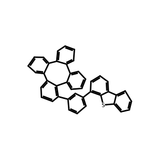 c1cc(-c2cccc3c2-c2ccccc2-c2ccccc2-c2ccccc2-3)cc(-c2cccc3c2sc2ccccc23)c1